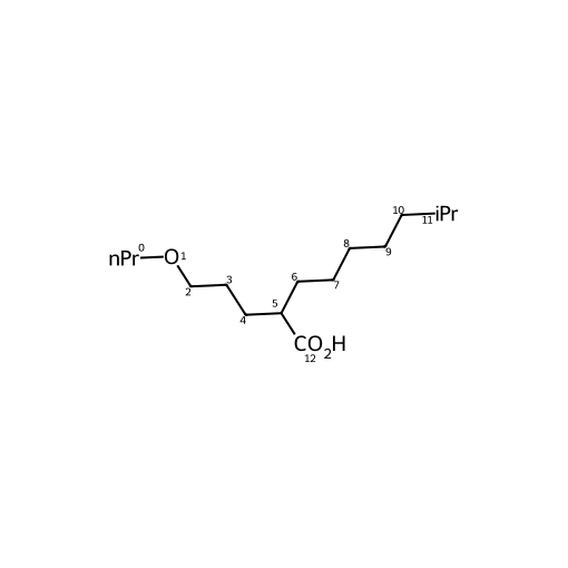 CCCOCCCC(CCCCCC(C)C)C(=O)O